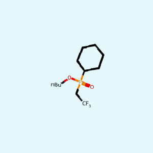 CCCCOP(=O)(CC(F)(F)F)C1CCCCC1